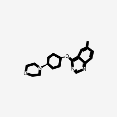 Cc1ccc2ncnc(O[C@H]3CC[C@H](N4CCOCC4)CC3)c2c1